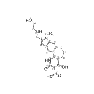 Cn1c(CNCCO)cc2cc3c(cc21)CCCc1c-3[nH]c(=O)c(C(=O)O)c1O